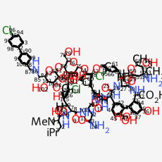 CN[C@H](CC(C)C)C(=O)NC1C(=O)NC(CC(N)=O)C(=O)N[C@H]2C(=O)N[C@H]3C(=O)N[C@H](C(=O)NC(C(=O)O)c4cc(O)cc(O)c4-c4cc3ccc4O)[C@H](OC3C[C@](C)(N)[C@@H](O)[C@H](C)O3)c3ccc(c(Cl)c3)Oc3cc2cc(c3O[C@@H]2O[C@H](CO)[C@@H](O[C@@H]3O[C@H](CNCc4ccc(-c5ccc(Cl)cc5)cc4)[C@H](O)[C@H](O)[C@H]3O)[C@H](O)[C@H]2O)Oc2ccc(cc2Cl)[C@H]1O